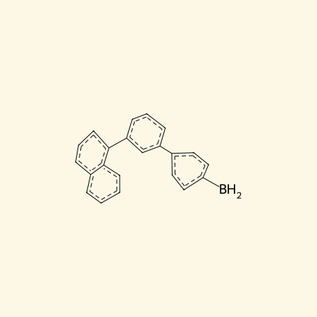 Bc1ccc(-c2cccc(-c3cccc4ccccc34)c2)cc1